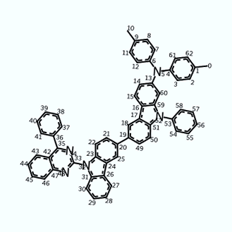 Cc1ccc(N(c2ccc(C)cc2)c2ccc3c4cc(-c5ccc6c(c5)c5ccccc5n6-c5nc(-c6ccccc6)c6ccccc6n5)ccc4n(-c4ccccc4)c3c2)cc1